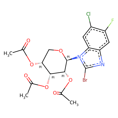 CC(=O)O[C@@H]1[C@H](OC(C)=O)[C@H](OC(C)=O)CO[C@H]1n1c(Br)nc2cc(F)c(Cl)cc21